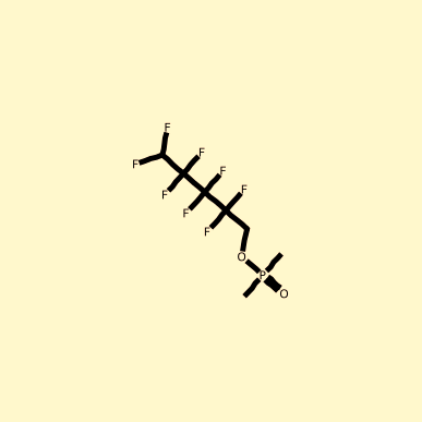 CP(C)(=O)OCC(F)(F)C(F)(F)C(F)(F)C(F)F